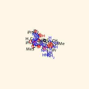 CC[C@H](C)[C@H](NC(=O)[C@H](CCSC)NC(=O)[C@H](CC(C)C)NC(=O)[C@H](C)NC(=O)[C@H](CC(C)C)NC(=O)[C@H](CO)NC(=O)[C@H](CC(C)C)NC(=O)[C@@H](N)CC(C)C)C(=O)N[C@@H](CC(N)=O)C(=O)N[C@@H](Cc1ccccc1)C(=O)N[C@@H](CCCNC(=N)N)C(=O)N[C@H](C(=O)N[C@@H](CCSC)C(=O)N[C@@H](C)C(=O)N[C@@H](CS)C(=O)O)C(C)C